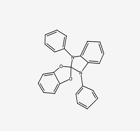 c1ccc(N2c3ccccc3N(c3ccccc3)C23Oc2ccccc2O3)cc1